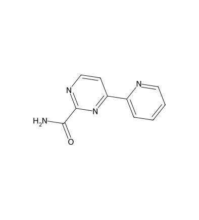 NC(=O)c1nccc(-c2ccccn2)n1